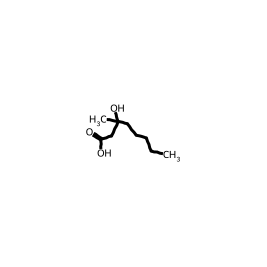 CCCCCC(C)(O)CC(=O)O